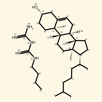 CC(C)CCCC(C)[C@H]1CC[C@H]2[C@@H]3CC=C4C[C@@H](O)CC[C@]4(C)[C@H]3CC[C@]12C.CCCCNC(=N)NC(=N)N